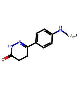 CCOC(=O)Nc1ccc(C2=NNC(=O)CC2)cc1